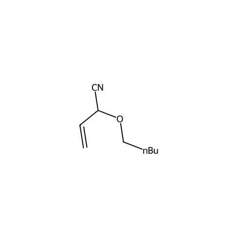 C=CC(C#N)OCCCCC